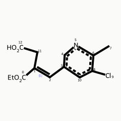 CCOC(=O)/C(=C/c1cnc(C)c(Cl)c1)CC(=O)O